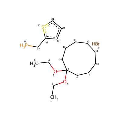 Br.CCOC1(OCC)CCCCCCCC1.PCc1cccs1